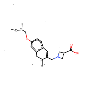 CC[C@H](C)COc1ccc2c(c1)C[C@H](C)C(CN1CC(C(=O)O)C1)=C2